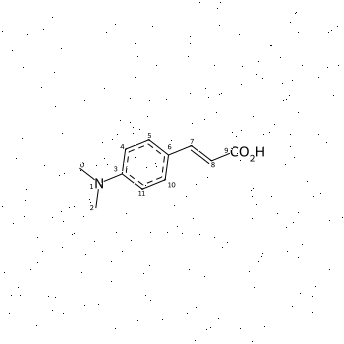 CN(C)c1ccc(C=CC(=O)O)cc1